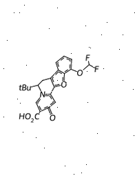 CC(C)(C)C1Cc2c(oc3c(OC(F)F)cccc23)-c2cc(=O)c(C(=O)O)cn21